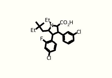 CCN1C(CC(C)(C)CC)C(c2ccc(Cl)cc2F)C(c2cccc(Cl)c2)C1C(=O)O